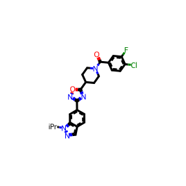 CC(C)n1ncc2ccc(-c3noc(C4CCN(C(=O)c5ccc(Cl)c(F)c5)CC4)n3)cc21